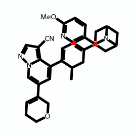 COc1ccc(CN2C3CC2CN(C2=NC=C(c4cc(C5=CCCOC5)cn5ncc(C#N)c45)C(C)C2)C3)cn1